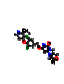 Cc1cc(Oc2c(F)cc(COc3cc4n(c(=O)n3)C[C@]35CO[C@H](CN43)C5)cc2F)ccn1